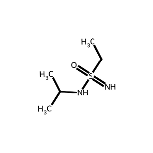 CCS(=N)(=O)NC(C)C